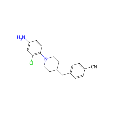 N#Cc1ccc(CC2CCN(c3ccc(N)cc3Cl)CC2)cc1